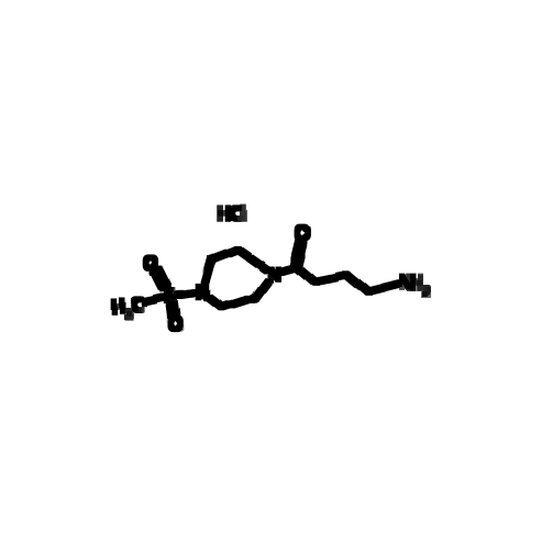 CS(=O)(=O)N1CCN(C(=O)CCCN)CC1.Cl